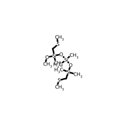 CO[Si](C)(CSC)O[Si](C)(C)O[Si](C)(C)CSC